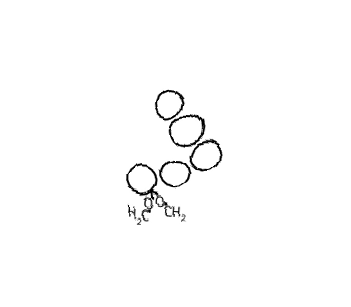 C1CCCCCCCCCCCCCC1.C1CCCCCCCCCCCCCC1.C1CCCCCCCCCCCCCC1.C1CCCCCCCCCCCCCC1.C=COCC1(COC=C)CCCCCCCCCCCCCC1